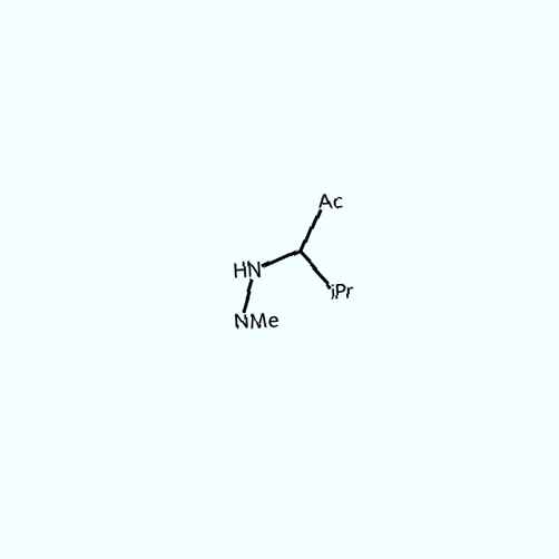 CNNC(C(C)=O)C(C)C